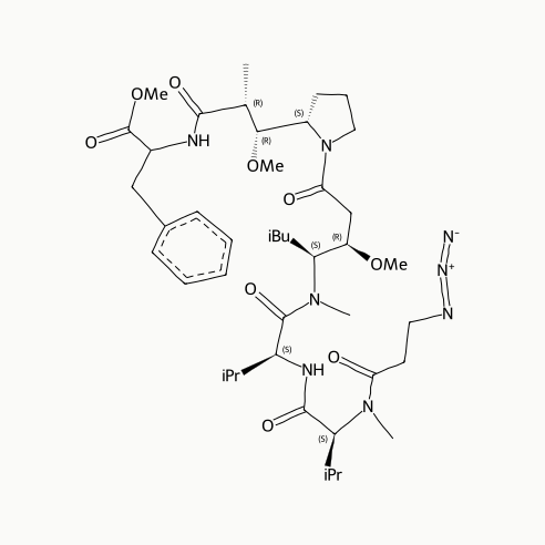 CCC(C)[C@@H]([C@@H](CC(=O)N1CCC[C@H]1[C@H](OC)[C@@H](C)C(=O)NC(Cc1ccccc1)C(=O)OC)OC)N(C)C(=O)[C@@H](NC(=O)[C@H](C(C)C)N(C)C(=O)CCN=[N+]=[N-])C(C)C